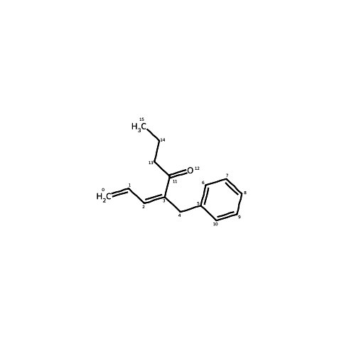 C=CC=C(Cc1ccccc1)C(=O)CCC